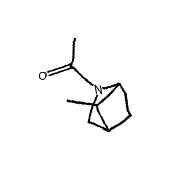 CC(=O)N1CC2CC1C2C